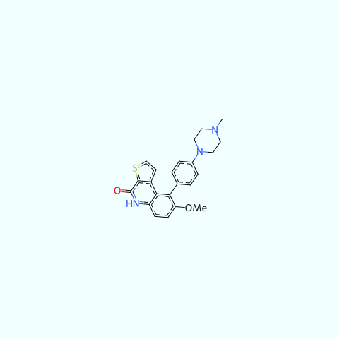 COc1ccc2[nH]c(=O)c3sccc3c2c1-c1ccc(N2CCN(C)CC2)cc1